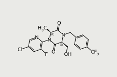 C[C@H]1C(=O)N(Cc2ccc(C(F)(F)F)cc2)[C@@H](CO)C(=O)N1c1ncc(Cl)cc1F